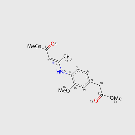 COC(=O)/C=C(/Nc1ccc(CC(=O)OC)cc1OC)C(F)(F)F